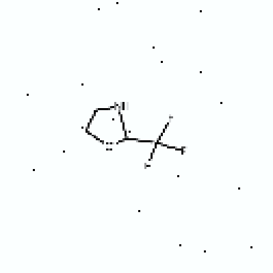 FC(F)(F)C1NCCO1